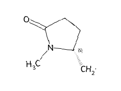 [CH2][C@H]1CCC(=O)N1C